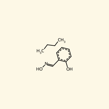 CCCC.ON=Cc1ccccc1O